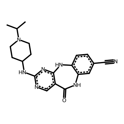 CC(C)N1CCC(Nc2ncc3c(n2)Nc2ccc(C#N)cc2NC3=O)CC1